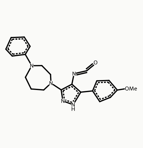 COc1ccc(-c2[nH]nc(N3CCCN(c4ccccc4)CC3)c2N=C=O)cc1